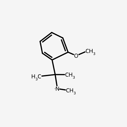 C[N]C(C)(C)c1ccccc1OC